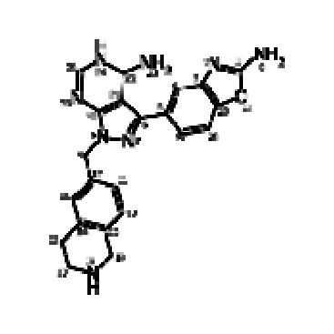 Nc1nc2cc(-c3nn(Cc4ccc5c(c4)CCNC5)c4c3C(N)NC=N4)ccc2o1